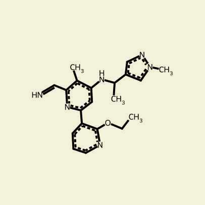 CCOc1ncccc1-c1cc(NC(C)c2cnn(C)c2)c(C)c(C=N)n1